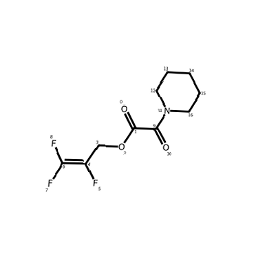 O=C(OCC(F)=C(F)F)C(=O)N1CCCCC1